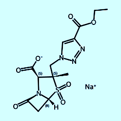 CCOC(=O)c1cn(C[C@@]2(C)[C@H](C(=O)[O-])N3C(=O)C[C@H]3S2(=O)=O)nn1.[Na+]